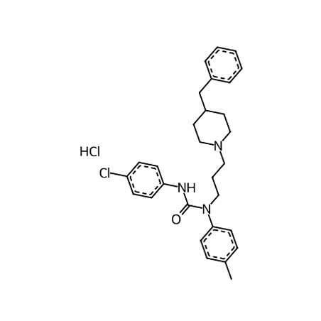 Cc1ccc(N(CCCN2CCC(Cc3ccccc3)CC2)C(=O)Nc2ccc(Cl)cc2)cc1.Cl